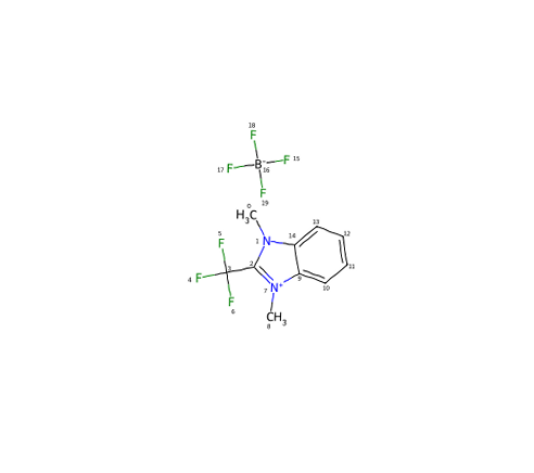 Cn1c(C(F)(F)F)[n+](C)c2ccccc21.F[B-](F)(F)F